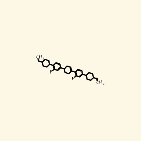 C=CC1CCC(c2ccc(C3=CCC(c4ccc(C5CCC(CC)CC5)c(F)c4)CC3)c(F)c2)CC1